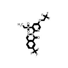 CCS(=O)(=O)c1cc(OCC(F)(F)F)cnc1-n1ncc2ccc(C(F)(F)F)cc2c1=O